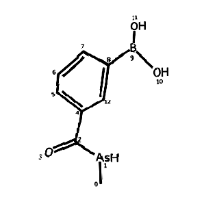 C[AsH]C(=O)c1cccc(B(O)O)c1